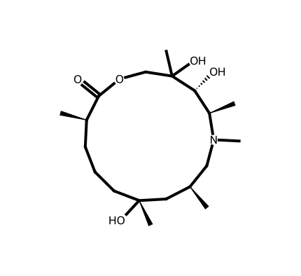 C[C@@H]1CN(C)[C@H](C)[C@@H](O)C(C)(O)COC(=O)[C@H](C)CCC[C@@](C)(O)C1